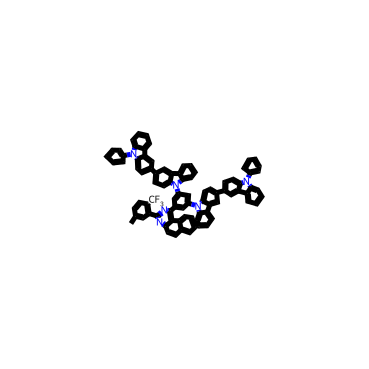 Cc1ccc(C(F)(F)F)c(-c2nc(-c3cc(-n4c5ccccc5c5cc(-c6ccc7c(c6)c6ccccc6n7-c6ccccc6)ccc54)cc(-n4c5ccccc5c5cc(-c6ccc7c(c6)c6ccccc6n7-c6ccccc6)ccc54)c3)c3c(ccc4ccccc43)n2)c1